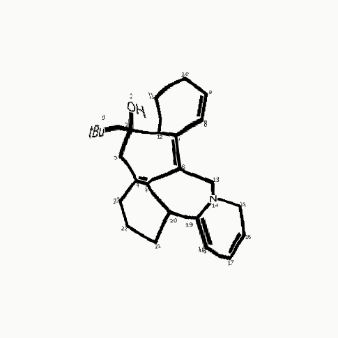 CC(C)(C)C1(O)CC2=C3C(=C4C=CCCC41)CN1CC=CC=C1C3CCC2